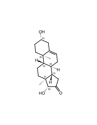 C[C@]12CC[C@H]3[C@@H](CC=C4C[C@@H](O)CC[C@@]43C)[C@@H]1CC(=O)[C@@H]2O